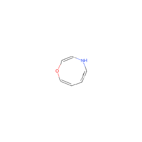 c1ccocc[nH]c1